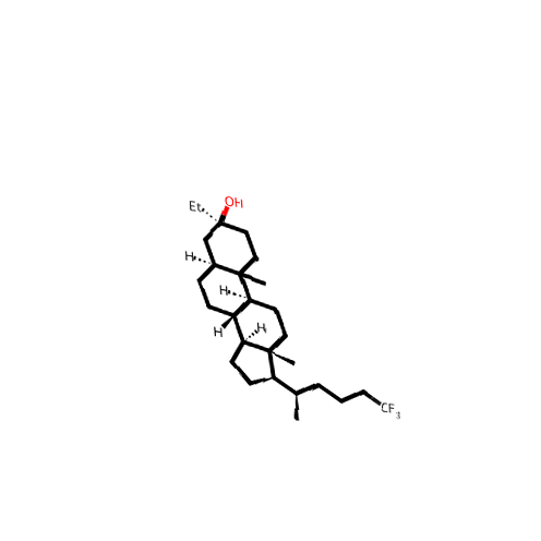 CC[C@]1(O)CCC2(C)[C@@H](CC[C@@H]3[C@@H]2CC[C@]2(C)[C@@H]([C@H](C)CCCC(F)(F)F)CC[C@@H]32)C1